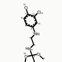 COC(C)(NCCNc1ccc(Cl)c(Cl)c1)OC